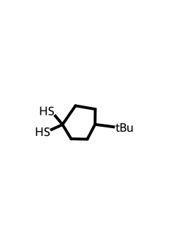 CC(C)(C)C1CCC(S)(S)CC1